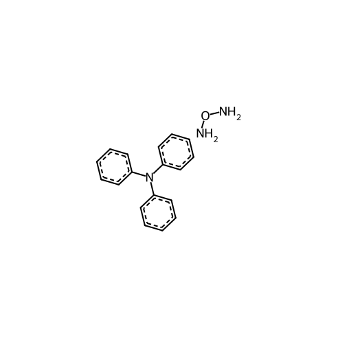 NON.c1ccc(N(c2ccccc2)c2ccccc2)cc1